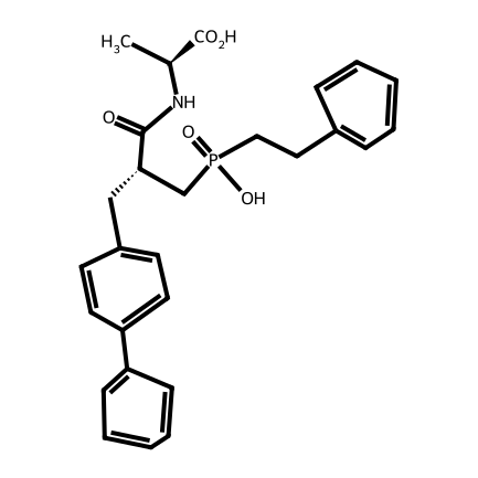 C[C@H](NC(=O)[C@@H](Cc1ccc(-c2ccccc2)cc1)CP(=O)(O)CCc1ccccc1)C(=O)O